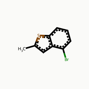 Cc1[c]c2c(Br)cccc2s1